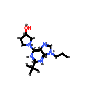 CCCn1cnc2c(N3CCC(O)C3)nc(C(C)(C)C)nc21